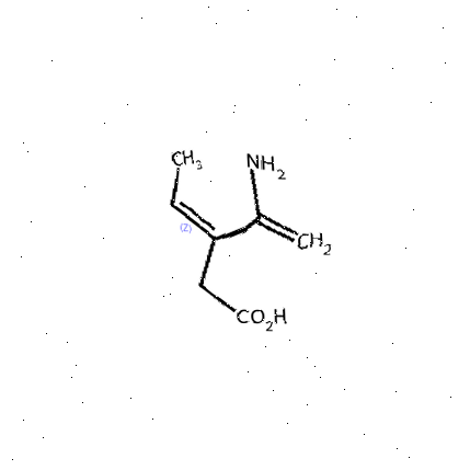 C=C(N)/C(=C\C)CC(=O)O